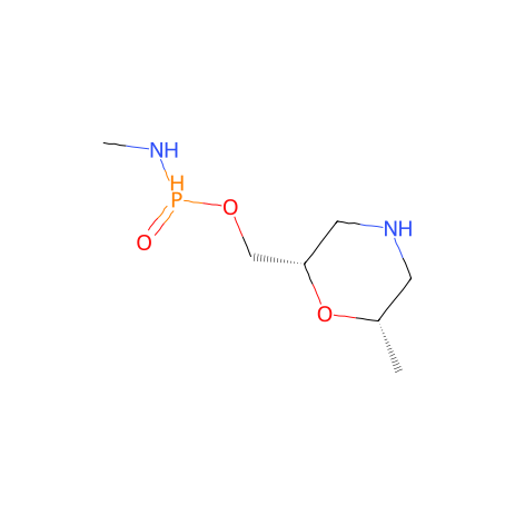 CN[PH](=O)OC[C@@H]1CNC[C@H](C)O1